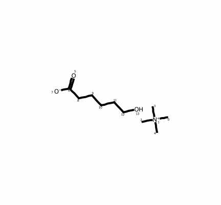 C[N+](C)(C)C.O=C([O-])CCCCCO